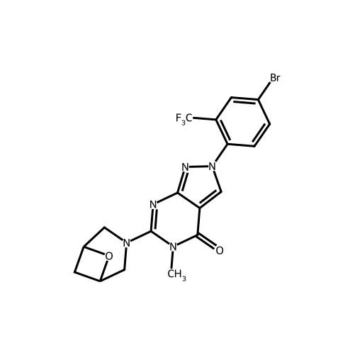 Cn1c(N2CC3CC(C2)O3)nc2nn(-c3ccc(Br)cc3C(F)(F)F)cc2c1=O